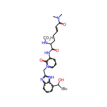 CN(C)C(=O)/C=C/CCC(NC(=O)O)C(=O)Nc1cccn(Cc2nc3cccc(C(O)C(C)(C)C)c3[nH]2)c1=O